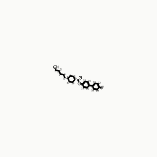 CCCCCC[C@H]1CC[C@H](C(=O)Oc2ccc(-c3ccc(F)cc3)cc2)CC1